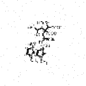 CCCCC(CC)CC(CC(CC)CCCC)(C(=O)[O-])C(C(=O)[O-])S(=O)(=O)O.CCCCn1cc[n+](C)c1.CCCCn1cc[n+](C)c1